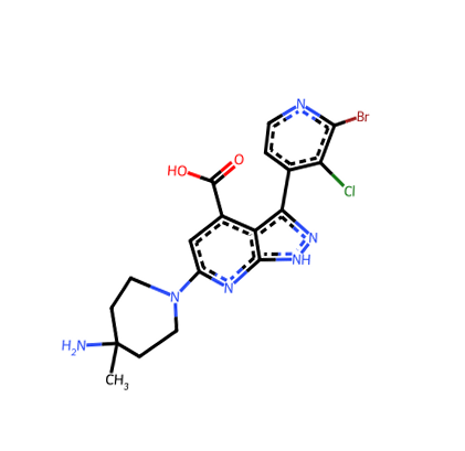 CC1(N)CCN(c2cc(C(=O)O)c3c(-c4ccnc(Br)c4Cl)n[nH]c3n2)CC1